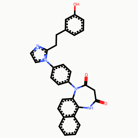 O=C1CC(=O)N(c2ccc(-n3ccnc3CCc3cccc(O)c3)cc2)c2ccc3ccccc3c2N1